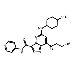 NC1CCC(Nc2cc(NCCO)c3ncc(C(=O)Nc4ccncc4)n3n2)CC1